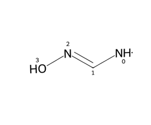 [NH]C=NO